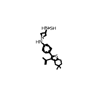 C=C(C)c1c(-c2ccc(NN3CC(NS)C3)cc2)sc2c1CC(C)(C)CC2